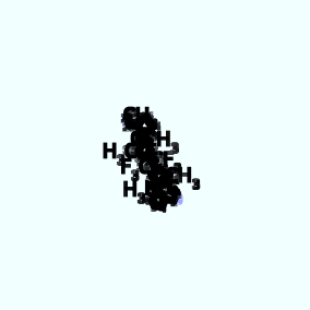 C/C=C\c1ccccc1Oc1c(C)cc(C(c2cc(C)c(Oc3ccccc3/C=C\C)c(C)c2)(C(F)(F)F)C(F)(F)F)cc1C